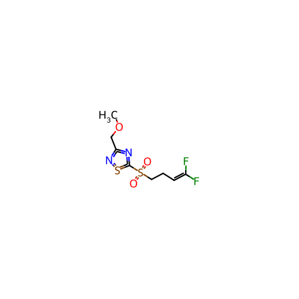 COCc1nsc(S(=O)(=O)CCC=C(F)F)n1